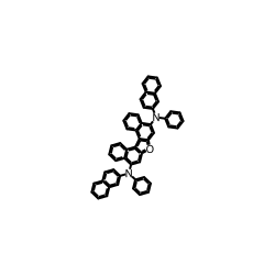 c1ccc(N(c2ccc3ccccc3c2)c2cc3oc4cc(N(c5ccccc5)c5ccc6ccccc6c5)c5ccccc5c4c3c3ccccc23)cc1